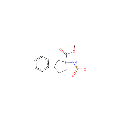 COC(=O)C1(N[SH](=O)=O)CCCC1.c1ccccc1